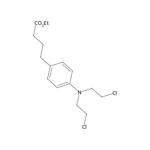 CCOC(=O)CCCc1ccc(N(CCCl)CCCl)cc1